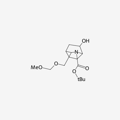 COCOCC1C2CCC(C(O)C2)N1C(=O)OC(C)(C)C